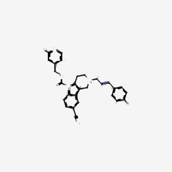 N#Cc1ccc2c(c1)c1c(n2C(=O)NCc2ccnc(F)c2)CCN(C/C=C/c2ccc(F)cc2)C1